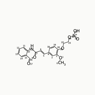 COc1cc(/C=C/C(=O)Nc2ccccc2C=O)ccc1OCCO[N+](=O)O